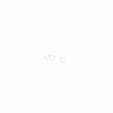 CC(F)(F)c1cc2cnc(Nc3ccc(N4CCNCC4)cn3)nc2c(N2CCOCC2)n1